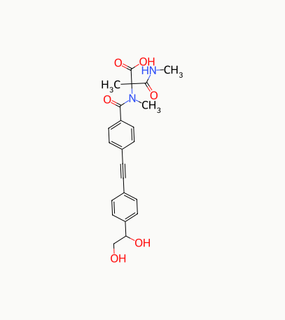 CNC(=O)C(C)(C(=O)O)N(C)C(=O)c1ccc(C#Cc2ccc(C(O)CO)cc2)cc1